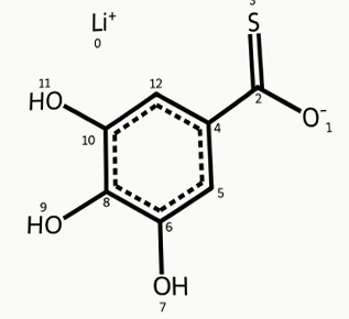 [Li+].[O-]C(=S)c1cc(O)c(O)c(O)c1